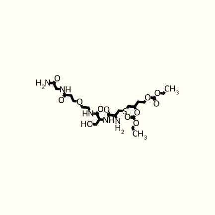 CCOC(=O)OCCC(CSCC(N)C(=O)NC(CO)C(=O)NCCOCCC(=O)NCC(N)=O)OC(=O)OCC